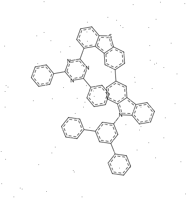 c1ccc(-c2cc(-c3ccccc3)cc(-n3c4ccccc4c4cc(-c5ccc6sc7cccc(-c8nc(-c9ccccc9)nc(-c9ccccc9)n8)c7c6c5)ccc43)c2)cc1